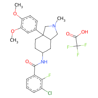 COc1ccc(C23CCC(NC(=O)c4cccc(Cl)c4F)CC2CN(C)C3)cc1OC.O=C(O)C(F)(F)F